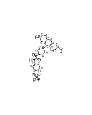 COC(=O)Cc1cc2ccc(F)cc2c(-c2ccc(S(=O)(=O)Nc3ccc(OC(F)(F)F)cc3)cc2)c1C